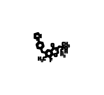 Cc1c(Cc2ccc(-n3cccn3)cc2)cc2c(c1F)OCN(CC(C)(C)O)C2=O